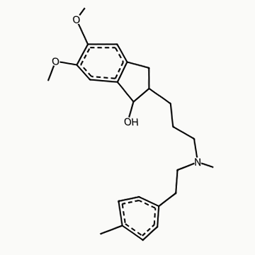 COc1cc2c(cc1OC)C(O)C(CCCN(C)CCc1ccc(C)cc1)C2